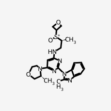 Cc1nc2ccccc2n1-c1nc(NC[C@@H](C)[S+]([O-])C2COC2)cc(N2CCOC[C@H]2C)n1